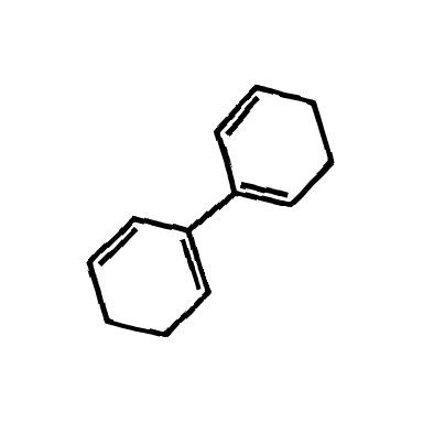 C1=CC(C2=CCCC=C2)=CCC1